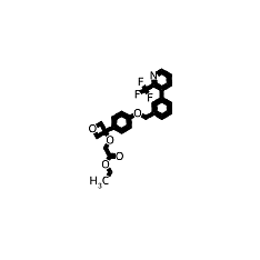 CCOC(=O)COC1(c2ccc(OCc3cccc(-c4cccnc4C(F)(F)F)c3)cc2)COC1